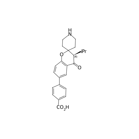 CC(C)[C@H]1C(=O)c2cc(-c3ccc(C(=O)O)cc3)ccc2OC12CCNCC2